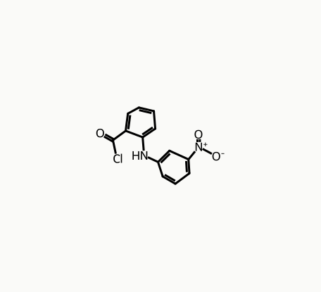 O=C(Cl)c1ccccc1Nc1cccc([N+](=O)[O-])c1